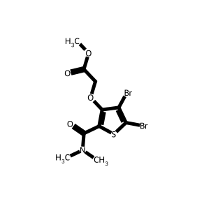 COC(=O)COc1c(C(=O)N(C)C)sc(Br)c1Br